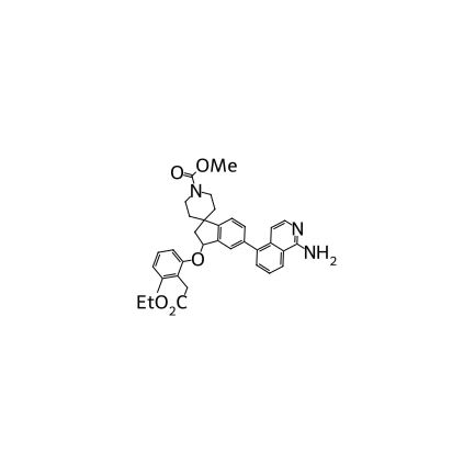 CCOC(=O)Cc1c(C)cccc1OC1CC2(CCN(C(=O)OC)CC2)c2ccc(-c3cccc4c(N)nccc34)cc21